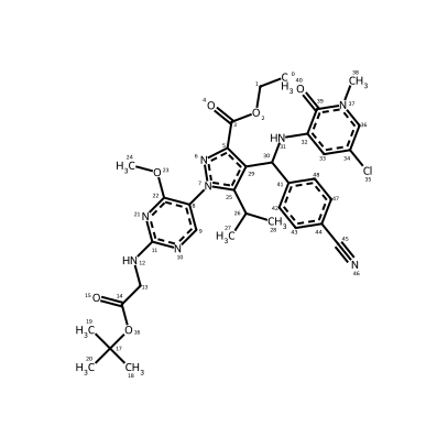 CCOC(=O)c1nn(-c2cnc(NCC(=O)OC(C)(C)C)nc2OC)c(C(C)C)c1C(Nc1cc(Cl)cn(C)c1=O)c1ccc(C#N)cc1